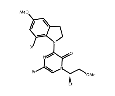 CC[C@H](COC)n1cc(Br)nc(N2CCc3cc(OC)cc(Br)c32)c1=O